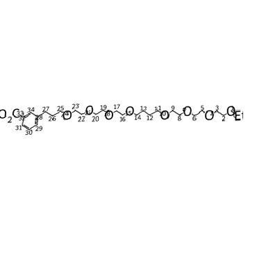 CCOCCOCCOCCOCCCCOCCOCCOCCOCCCc1cccc(C(=O)O)c1